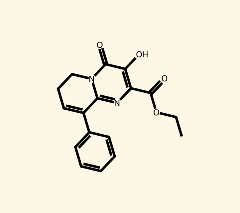 CCOC(=O)c1nc2n(c(=O)c1O)CCC=C2c1ccccc1